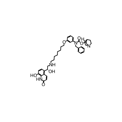 O=C(O[C@H]1CN2CCC1CC2)N(Cc1ccccc1)c1cccc(OCCCCCCCCNC[C@H](O)c2ccc(O)c3[nH]c(=O)ccc23)c1